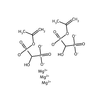 C=C(C)OP(=O)([O-])C(O)P(=O)([O-])[O-].C=C(C)OP(=O)([O-])C(O)P(=O)([O-])[O-].[Mg+2].[Mg+2].[Mg+2]